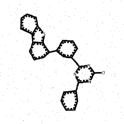 Clc1nc(-c2ccccc2)nc(-c2cccc(-c3cccc4c3sc3ccccc34)c2)n1